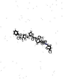 CN(C(=O)Nc1ccccc1)C1CCN(C[C@@H]2CCCN2C(=O)CN2CCC[C@H](NS(=O)(=O)/C=C/c3ccc(Cl)s3)C2=O)C1